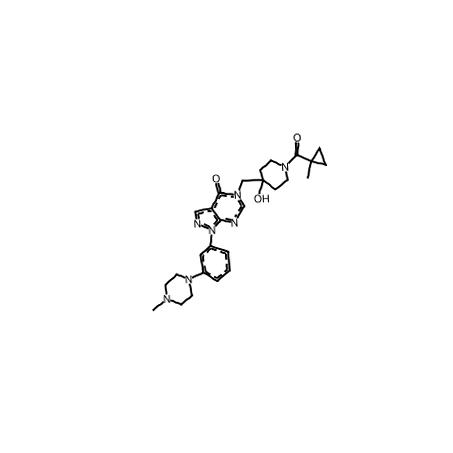 CN1CCN(c2cccc(-n3ncc4c(=O)n(CC5(O)CCN(C(=O)C6(C)CC6)CC5)cnc43)c2)CC1